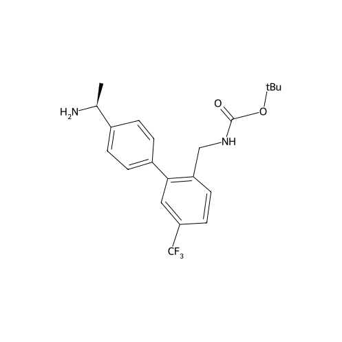 C[C@H](N)c1ccc(-c2cc(C(F)(F)F)ccc2CNC(=O)OC(C)(C)C)cc1